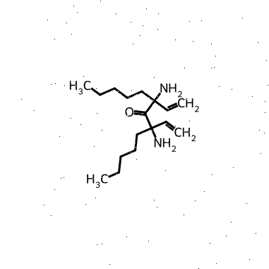 C=CC(N)(CCCCC)C(=O)C(N)(C=C)CCCCC